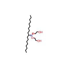 CCCCCCCCCC(CCCCCCCC)N(OCCO)OCCO